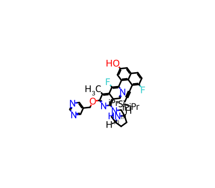 Cc1c(OCc2cncnc2)nc(N2C[C@H]3CC[C@@H](C2)N3)c2cnc(-c3cc(O)cc4ccc(F)c(C#C[Si](C(C)C)(C(C)C)C(C)C)c34)c(F)c12